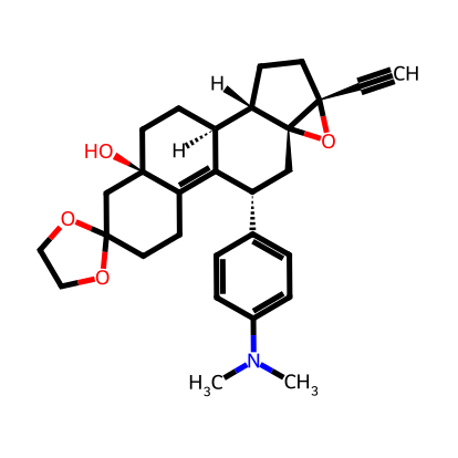 C#C[C@]12CC[C@H]3[C@@H]4CC[C@@]5(O)CC6(CCC5=C4[C@@H](c4ccc(N(C)C)cc4)C[C@@]31O2)OCCO6